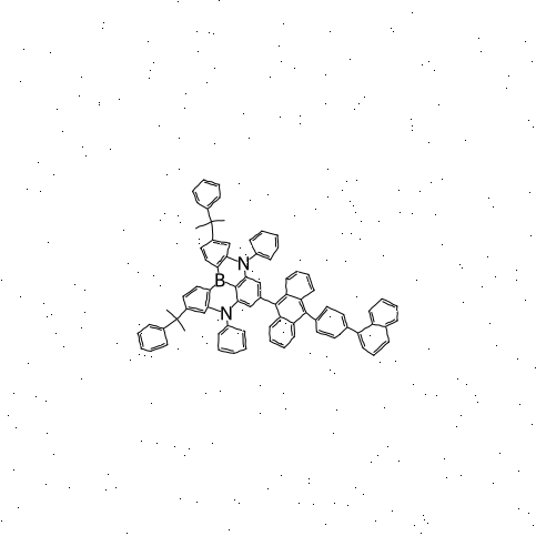 CC(C)(c1ccccc1)c1ccc2c(c1)N(c1ccccc1)c1cc(-c3c4ccccc4c(-c4ccc(-c5cccc6ccccc56)cc4)c4ccccc34)cc3c1B2c1ccc(C(C)(C)c2ccccc2)cc1N3c1ccccc1